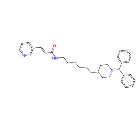 O=C(C=Cc1cccnc1)NCCCCCCC1CCN(C(c2ccccc2)c2ccccc2)CC1